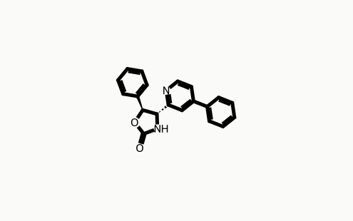 O=C1N[C@@H](c2cc(-c3ccccc3)ccn2)[C@H](c2ccccc2)O1